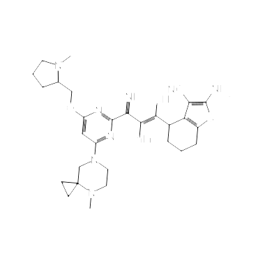 CCC/C(C(=N)c1nc(OCC2CCCN2C)cc(N2CCN(C)C3(CC3)C2)n1)=C(/O)C1CCCc2sc(N)c(C#N)c21